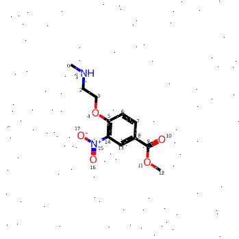 CNCCOc1ccc(C(=O)OC)cc1[N+](=O)[O-]